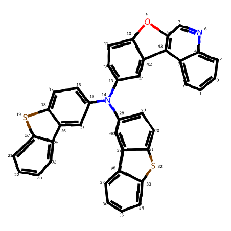 c1ccc2c(c1)ncc1oc3ccc(N(c4ccc5sc6ccccc6c5c4)c4ccc5sc6ccccc6c5c4)cc3c12